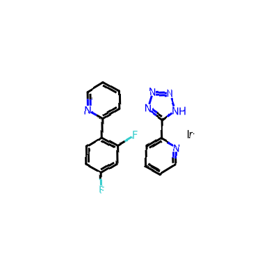 Fc1ccc(-c2ccccn2)c(F)c1.[Ir].c1ccc(-c2nnn[nH]2)nc1